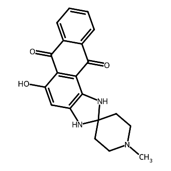 CN1CCC2(CC1)Nc1cc(O)c3c(c1N2)C(=O)c1ccccc1C3=O